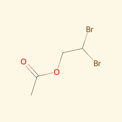 CC(=O)OCC(Br)Br